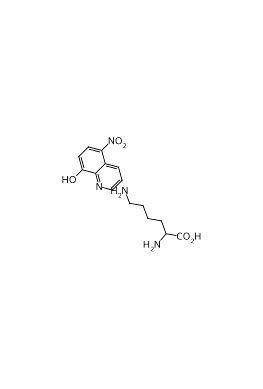 NCCCCC(N)C(=O)O.O=[N+]([O-])c1ccc(O)c2ncccc12